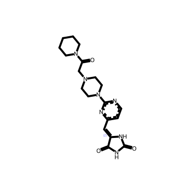 O=C1NC(=O)/C(=C/c2ccnc(N3CCN(CC(=O)N4CCCCC4)CC3)n2)N1